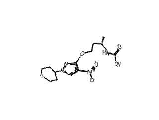 C[C@H](CCOc1nn(C2CCOCC2)cc1[N+](=O)[O-])NC(=O)O